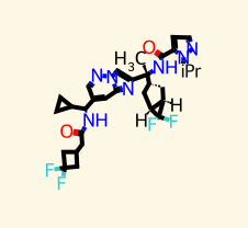 CC(C)n1nccc1C(=O)N[C@@](C)(c1cn2ncc([C@H](NC(=O)CC3CC(F)(F)C3)C3CC3)cc2n1)[C@@H]1C[C@@H]2[C@H](C1)C2(F)F